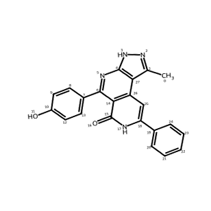 Cc1n[nH]c2nc(-c3ccc(O)cc3)c3c(=O)[nH]c(-c4ccccc4)cc3c12